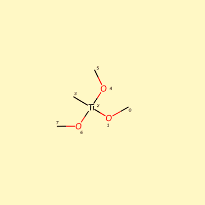 C[O][Ti]([CH3])([O]C)[O]C